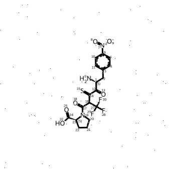 N[C@@H](Cc1ccc([N+](=O)[O-])cc1)C(=O)C(=S)C(C(=O)N1CCC[C@H]1C(=O)O)C(F)(F)F